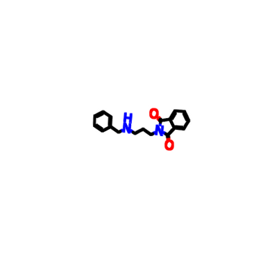 O=C1c2ccccc2C(=O)N1CCCNCc1ccccc1